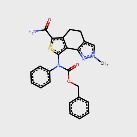 Cn1cc2c(n1)-c1c(N(C(=O)OCc3ccccc3)c3ccccc3)sc(C(N)=O)c1CC2